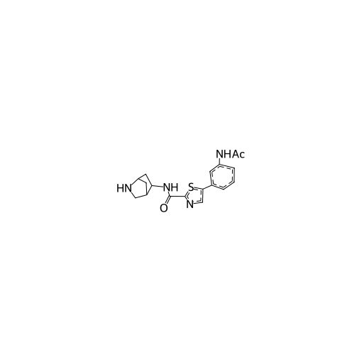 CC(=O)Nc1cccc(-c2cnc(C(=O)NC3CC4CC3CN4)s2)c1